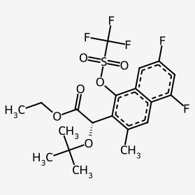 CCOC(=O)[C@@H](OC(C)(C)C)c1c(C)cc2c(F)cc(F)cc2c1OS(=O)(=O)C(F)(F)F